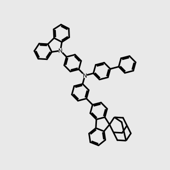 c1ccc(-c2ccc(N(c3ccc(-n4c5ccccc5c5ccccc54)cc3)c3cccc(-c4ccc5c(c4)-c4ccccc4C54C5CC6CC(C5)CC4C6)c3)cc2)cc1